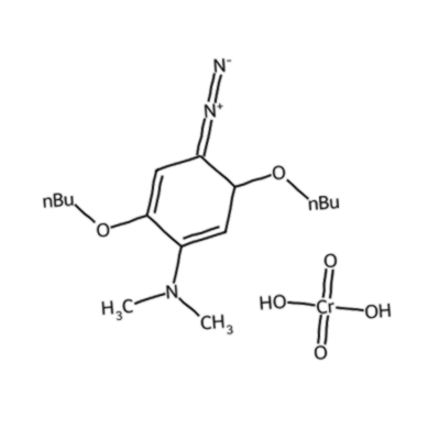 CCCCOC1=CC(=[N+]=[N-])C(OCCCC)C=C1N(C)C.[O]=[Cr](=[O])([OH])[OH]